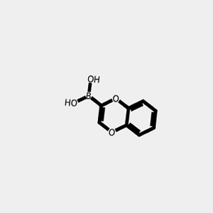 OB(O)C1=COc2ccccc2O1